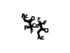 CC(=O)CC(=O)[C](F)(F)[Co][C](F)(F)C(=O)CC(C)=O